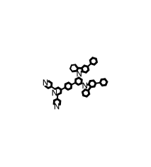 C1=c2c(n(-c3cc(-c4ccc(-c5cc(-c6ccncc6)nc(-c6ccncc6)c5)cc4)cc(-n4c5ccccc5c5cc(-c6ccccc6)ccc54)c3)c3ccc(-c4ccccc4)cc23)=CCC1